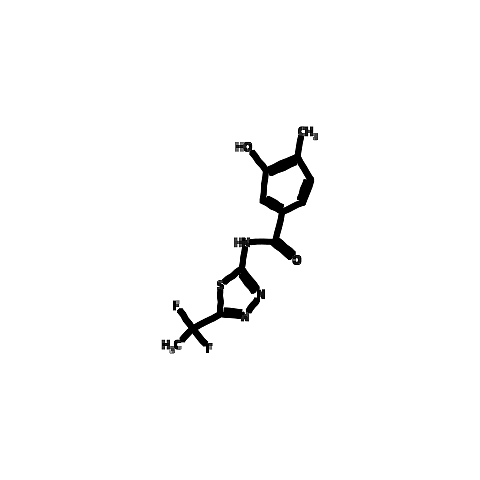 Cc1ccc(C(=O)Nc2nnc(C(C)(F)F)s2)cc1O